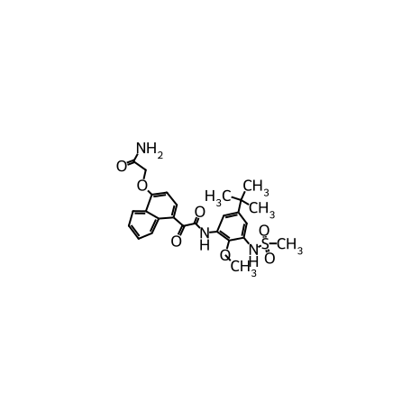 COc1c(NC(=O)C(=O)c2ccc(OCC(N)=O)c3ccccc23)cc(C(C)(C)C)cc1NS(C)(=O)=O